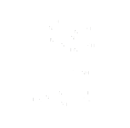 CNc1cc(-n2nc(C)cc2Nc2cc(NC(=O)c3cc(N4CCN(C)C[C@@H]4C)cc(C(F)(F)F)c3)ccc2C)ncn1